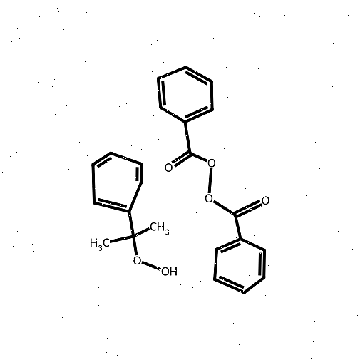 CC(C)(OO)c1ccccc1.O=C(OOC(=O)c1ccccc1)c1ccccc1